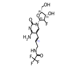 Nc1nc(=O)n([C@@H]2O[C@H](CO)[C@H](O)C2F)cc1/C=C/CNC(=O)C(F)(F)F